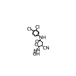 N#CC(CC(=O)Nc1ccc(Cl)c(Cl)c1)C(=O)/N=N/O